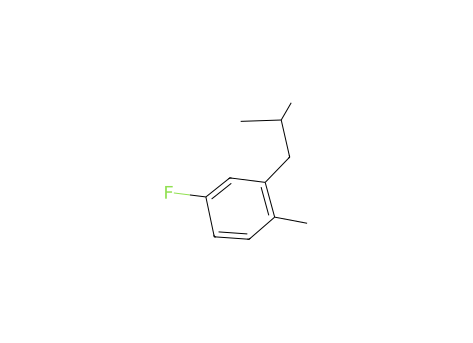 Cc1ccc(F)cc1CC(C)C